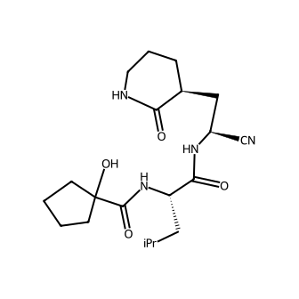 CC(C)C[C@H](NC(=O)C1(O)CCCC1)C(=O)N[C@H](C#N)C[C@@H]1CCCNC1=O